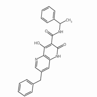 CC(NC(=O)c1c(O)c2ncc(Cc3ccccc3)cc2[nH]c1=O)c1ccccc1